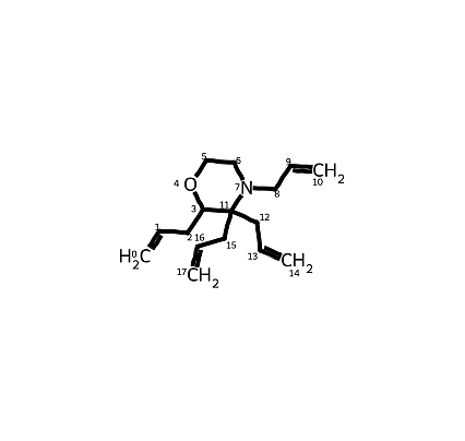 C=CCC1OCCN(CC=C)C1(CC=C)CC=C